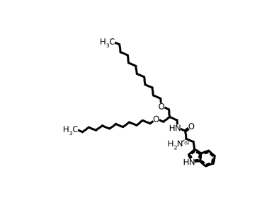 CCCCCCCCCCCCOCC(CNC(=O)[C@@H](N)Cc1c[nH]c2ccccc12)COCCCCCCCCCCCC